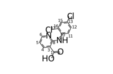 O=C(O)c1cccnc1Nc1ccc(Cl)cc1Cl